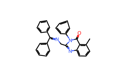 Cc1cccc2nc(CN=C(c3ccccc3)c3ccccc3)n(-c3ccccc3)c(=O)c12